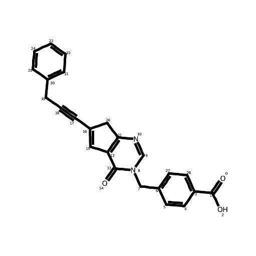 O=C(O)c1ccc(Cn2cnc3c(c2=O)C=C(C#CCc2ccccc2)C3)cc1